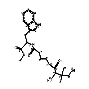 COC(=O)C(Cc1c[nH]c2ccccc12)NC(=O)CCCNC(=O)C(O)C(C)(C)CO